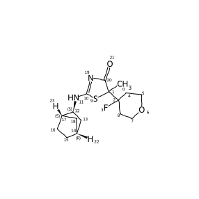 CC1(C2(F)CCOCC2)SC(N[C@H]2C[C@@H]3CC[C@H]2C3)=NC1=O